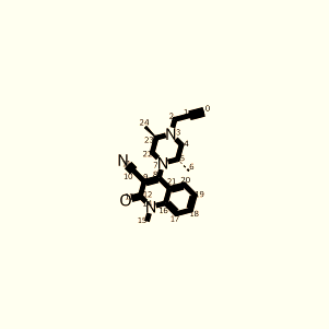 C#CCN1C[C@H](C)N(c2c(C#N)c(=O)n(C)c3ccccc23)C[C@H]1C